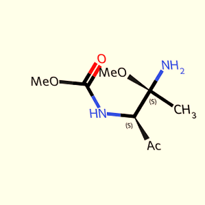 COC(=O)N[C@H](C(C)=O)[C@@](C)(N)OC